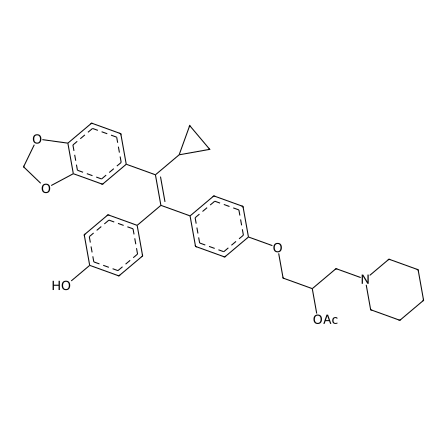 CC(=O)OC(COc1ccc(C(=C(c2ccc3c(c2)OCO3)C2CC2)c2ccc(O)cc2)cc1)CN1CCCCC1